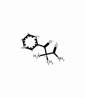 C[C@](N)(C(N)=O)C(=O)c1cnccn1